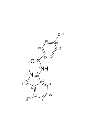 O=C(Nc1noc2c(F)cccc12)c1ccc(F)cc1